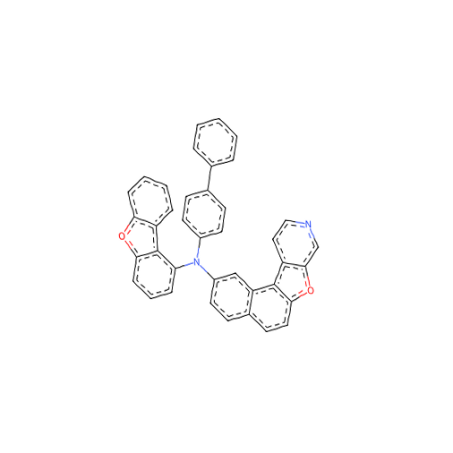 c1ccc(-c2ccc(N(c3ccc4ccc5oc6cnccc6c5c4c3)c3cccc4oc5ccccc5c34)cc2)cc1